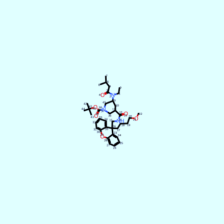 CCN(C(=O)CC(C)C)C1CC(C(=O)NCC2(CCCCOC)c3ccccc3Oc3ccccc32)CN(C(=O)OC(C)(C)C)C1